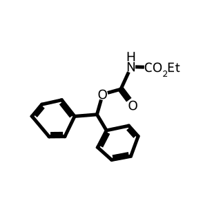 CCOC(=O)NC(=O)OC(c1ccccc1)c1ccccc1